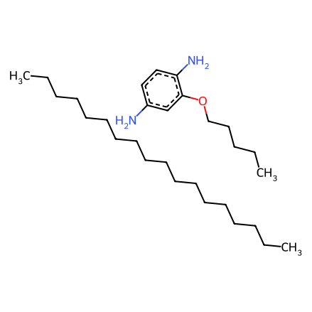 CCCCCCCCCCCCCCCCCC.CCCCCOc1cc(N)ccc1N